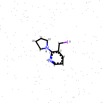 ICc1cccnc1N1CCCC1